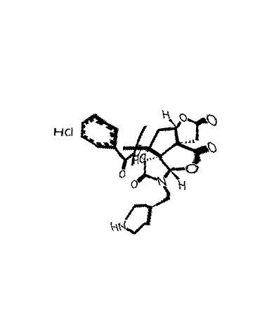 CC(C)(C)[C@]1(O)C[C@@H]2OC(=O)C[C@@]23C(=O)O[C@@H]2N(C[C@H]4CCNC4)C(=O)[C@H](OC(=O)c4ccccc4)[C@]213.Cl